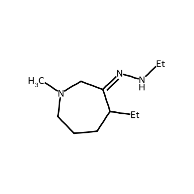 CCN/N=C1/CN(C)CCCC1CC